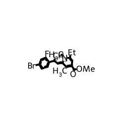 CCC1=CC(C(=O)OC)=C(C)/C(=C/C(C)c2ccc(Br)cc2F)N1C